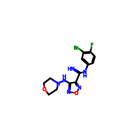 N=C(Nc1ccc(F)c(Br)c1)c1nonc1NN1CCOCC1